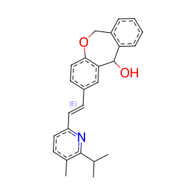 Cc1ccc(/C=C/c2ccc3c(c2)C(O)c2ccccc2CO3)nc1C(C)C